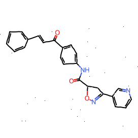 O=C(C=Cc1ccccc1)c1ccc(NC(=O)C2CC(c3cccnc3)=NO2)cc1